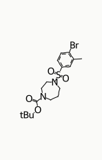 Cc1cc(S(=O)(=O)N2CCCN(C(=O)OC(C)(C)C)CC2)ccc1Br